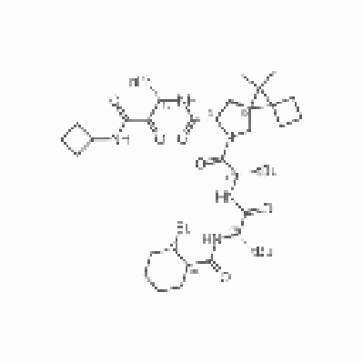 CCC[C@H](NC(=O)[C@@H]1C[C@@]2(CN1C(=O)[C@@H](NC(=O)[C@@H](NC(=O)[C@H]1CCCCN1CC)C(C)(C)C)C(C)(C)C)C(C)(C)C21CCC1)C(=O)C(=O)NC1CCC1